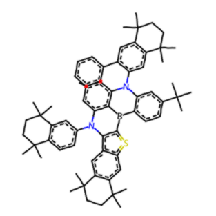 Cc1cc2c3c(c1)N(c1ccc4c(c1)C(C)(C)CCC4(C)C)c1c(sc4cc5c(cc14)C(C)(C)CCC5(C)C)B3c1ccc(C(C)(C)C)cc1N2c1cc2c(cc1-c1ccccc1)C(C)(C)CCC2(C)C